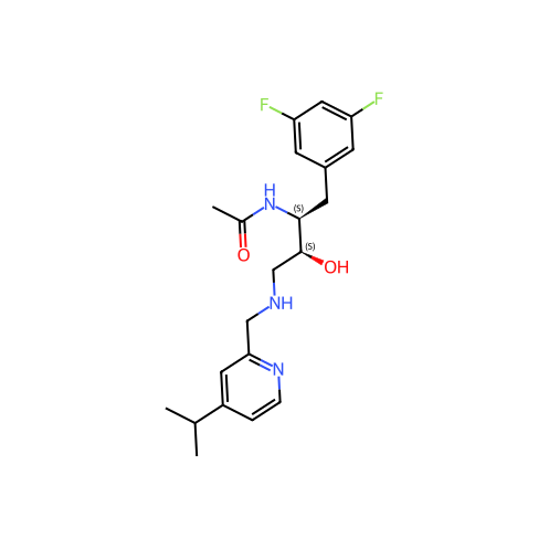 CC(=O)N[C@@H](Cc1cc(F)cc(F)c1)[C@@H](O)CNCc1cc(C(C)C)ccn1